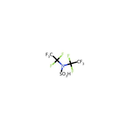 O=S(=O)(O)N(C(F)(F)C(F)(F)F)C(F)(F)C(F)(F)F